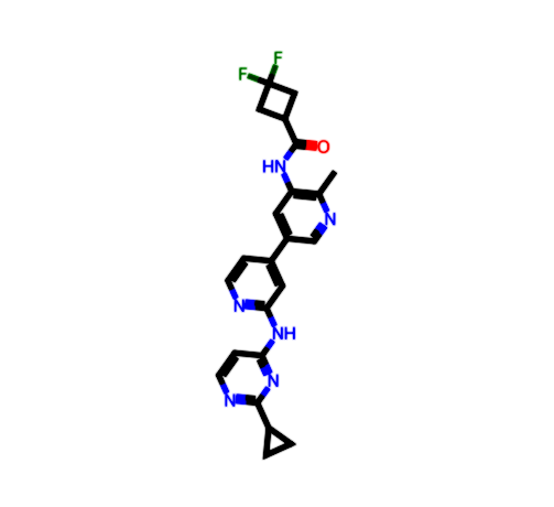 Cc1ncc(-c2ccnc(Nc3ccnc(C4CC4)n3)c2)cc1NC(=O)C1CC(F)(F)C1